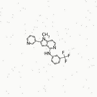 Cn1c(-c2cccnc2)cc2c(Nc3cccc(C(F)(F)F)c3)nccc21